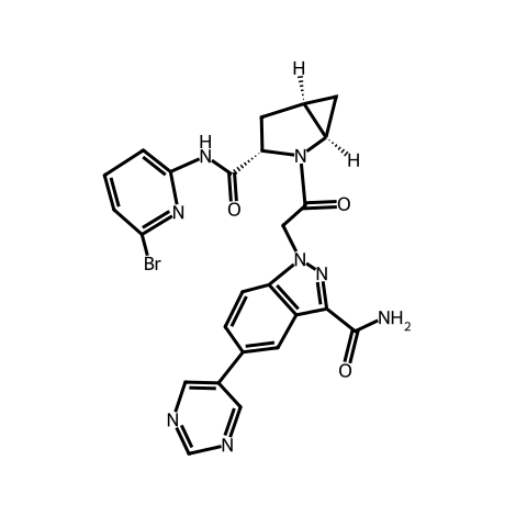 NC(=O)c1nn(CC(=O)N2[C@@H]3C[C@@H]3C[C@H]2C(=O)Nc2cccc(Br)n2)c2ccc(-c3cncnc3)cc12